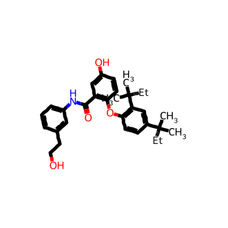 CCC(C)(C)c1ccc(Oc2ccc(O)cc2C(=O)Nc2cccc(CCO)c2)c(C(C)(C)CC)c1